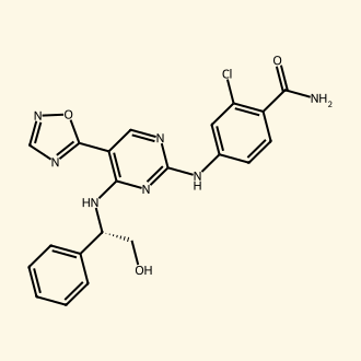 NC(=O)c1ccc(Nc2ncc(-c3ncno3)c(N[C@H](CO)c3ccccc3)n2)cc1Cl